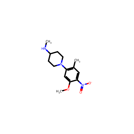 CNC1CCN(c2cc(OC)c([N+](=O)[O-])cc2C)CC1